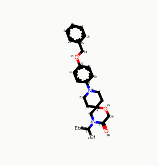 CCC(CC)N1CC2(CCN(c3ccc(OCc4ccccc4)cc3)CC2)OCC1=O